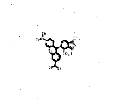 CCN(CC)c1ccc2c(-c3ccc4c(nnn4C)c3C(=O)O)c3ccc(N(CC)CC)cc3[o+]c2c1